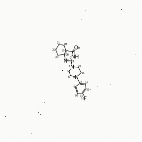 O=c1[nH]c(N2CCN(c3ccc(F)cc3)CC2)nc2c1CCCC2